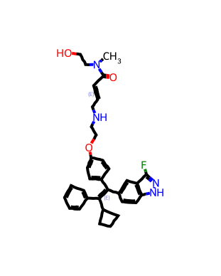 CN(CCO)C(=O)/C=C/CNCCOc1ccc(/C(=C(\c2ccccc2)C2CCC2)c2ccc3[nH]nc(F)c3c2)cc1